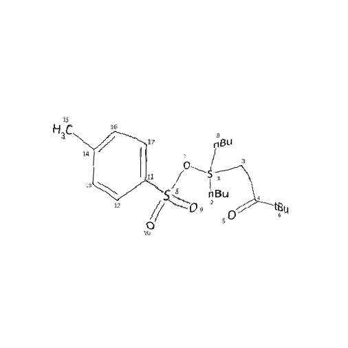 CCCCS(CCCC)(CC(=O)C(C)(C)C)OS(=O)(=O)c1ccc(C)cc1